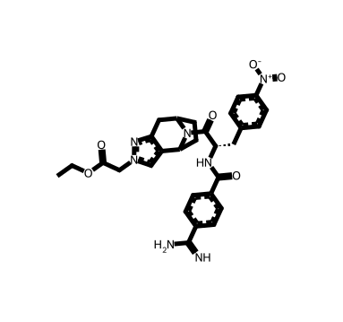 CCOC(=O)Cn1cc2c(n1)CC1CCC2N1C(=O)[C@H](Cc1ccc([N+](=O)[O-])cc1)NC(=O)c1ccc(C(=N)N)cc1